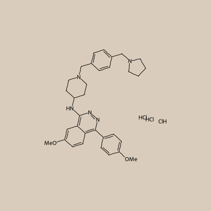 COc1ccc(-c2nnc(NC3CCN(Cc4ccc(CN5CCCC5)cc4)CC3)c3cc(OC)ccc23)cc1.Cl.Cl.Cl